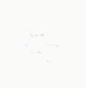 [CH2]Sc1nnc(O)c(=O)n1C(C)C